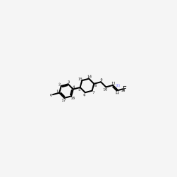 Cc1ccc(C2CCC(CC/C=C/F)CC2)cc1